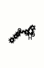 O=C1CC2CCCCN2Cc2cc(/C=C/C(=O)N3CC4C=C(c5ccccc5)CC4C3)cnc2N1